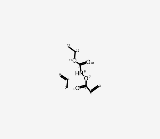 C=CC.C=CC(=O)ONC(=O)OCC